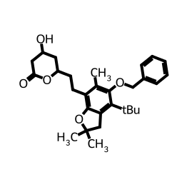 Cc1c(CCC2CC(O)CC(=O)O2)c2c(c(C(C)(C)C)c1OCc1ccccc1)CC(C)(C)O2